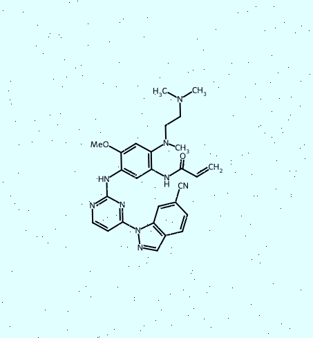 C=CC(=O)Nc1cc(Nc2nccc(-n3ncc4ccc(C#N)cc43)n2)c(OC)cc1N(C)CCN(C)C